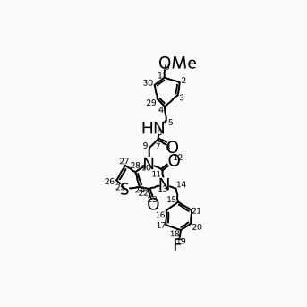 COc1ccc(CNC(=O)Cn2c(=O)n(Cc3ccc(F)cc3)c(=O)c3sccc32)cc1